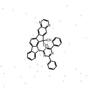 CC1(C)c2cc3nccnc3cc2-c2ccc3c4ccccc4n(-c4nc(-c5ccccc5)nc(-c5ccccc5)n4)c3c21